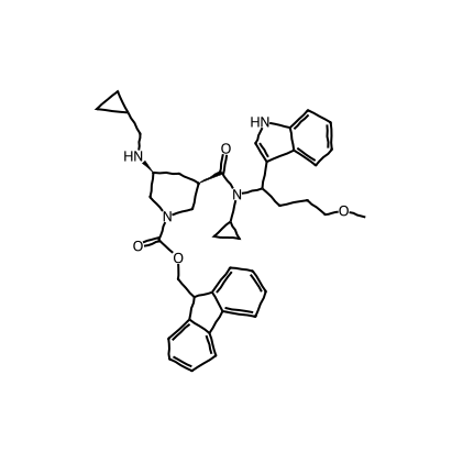 COCCCC(c1c[nH]c2ccccc12)N(C(=O)[C@@H]1C[C@H](NCC2CC2)CN(C(=O)OCC2c3ccccc3-c3ccccc32)C1)C1CC1